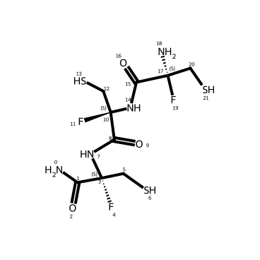 NC(=O)[C@](F)(CS)NC(=O)[C@](F)(CS)NC(=O)[C@](N)(F)CS